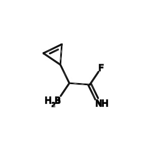 BC(C(=N)F)C1C=C1